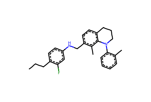 CCCc1ccc(NCc2ccc3c(c2C)N(c2ccccc2C)CCC3)cc1F